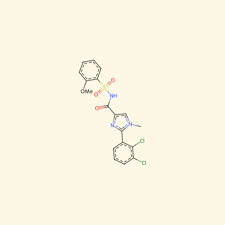 COc1ccccc1S(=O)(=O)NC(=O)c1cn(C)c(-c2cccc(Cl)c2Cl)n1